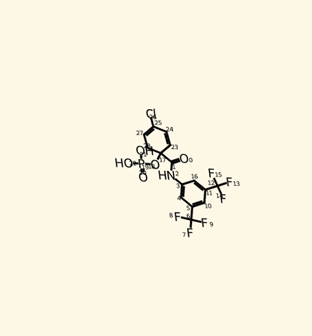 O=C(Nc1cc(C(F)(F)F)cc(C(F)(F)F)c1)C1(OP(=O)(O)O)C=CC(Cl)=CC1